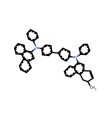 CC1C=Cc2cc(N(c3ccccc3)c3ccc(-c4ccc(N(c5ccccc5)c5cc6ccccc6c6ccccc56)cc4)cc3)c3ccccc3c2C1